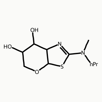 CCCN(C)C1=NC2C(OCC(O)C2O)S1